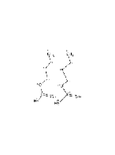 CCCCOC(=S)S.CCCCOC(=S)S